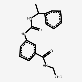 CC(NC(=O)Nc1cccc(C(=O)N[CH]C=O)c1)c1ccccc1